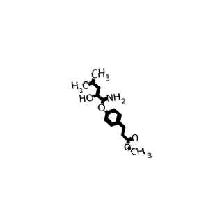 COC(=O)CCc1ccc(OC(N)C(O)CC(C)C)cc1